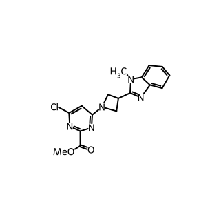 COC(=O)c1nc(Cl)cc(N2CC(c3nc4ccccc4n3C)C2)n1